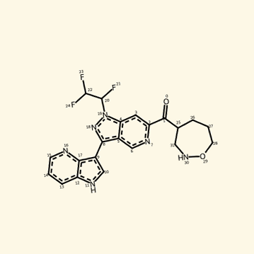 O=C(c1cc2c(cn1)c(-c1c[nH]c3cccnc13)nn2C(F)C(F)F)C1CCCONC1